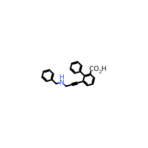 O=C(O)c1cccc(C#CCNCc2ccccc2)c1-c1ccccc1